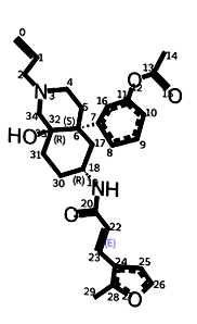 C=CCN1CC[C@@]2(c3cccc(OC(C)=O)c3)C[C@H](NC(=O)/C=C/c3ccoc3C)CC[C@]2(O)C1